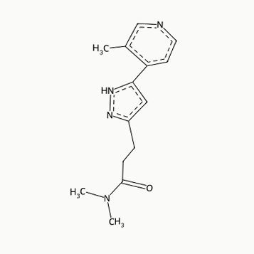 Cc1cnccc1-c1cc(CCC(=O)N(C)C)n[nH]1